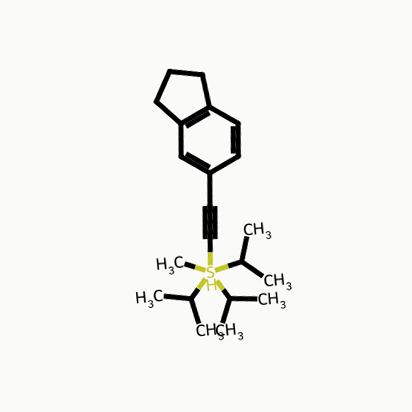 CC(C)[SH](C)(C#Cc1ccc2c(c1)CCC2)(C(C)C)C(C)C